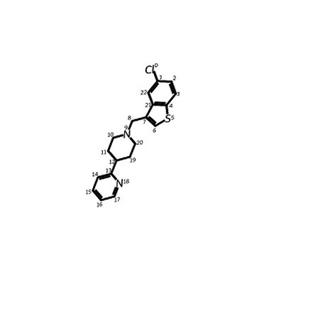 Clc1ccc2scc(CN3CCC(c4ccccn4)CC3)c2c1